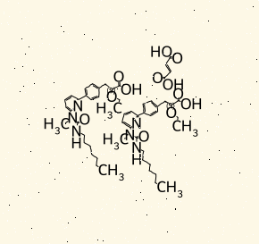 CCCCCCCNC(=O)N(C)c1cccc(-c2ccc(C[C@H](OCC)C(=O)O)cc2)n1.CCCCCCCNC(=O)N(C)c1cccc(-c2ccc(C[C@H](OCC)C(=O)O)cc2)n1.O=C(O)C=CC(=O)O